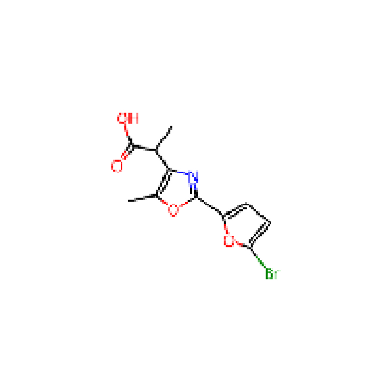 Cc1oc(-c2ccc(Br)o2)nc1C(C)C(=O)O